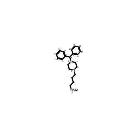 CNCCCCN1CCN(C(c2ccccc2)c2ccccc2)CC1